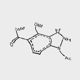 COC(=O)c1ccc2c(c1OC)NNN2C(C)=O